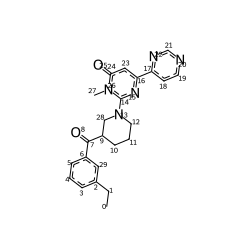 CCc1cccc(C(=O)C2CCCN(c3nc(-c4ccncn4)cc(=O)n3C)C2)c1